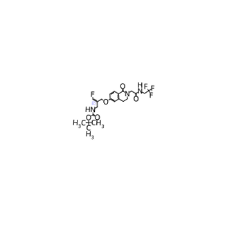 CC(C)(C)OC(=O)NC/C(=C/F)COc1ccc2c(c1)CCN(CC(=O)NCC(F)(F)F)C2=O